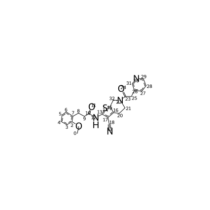 COc1ccccc1CCC(=O)Nc1sc2c(c1C#N)CCN(C(=O)Cc1cccnc1)C2